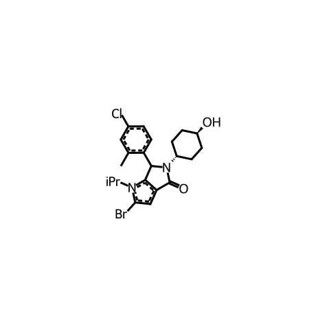 Cc1cc(Cl)ccc1C1c2c(cc(Br)n2C(C)C)C(=O)N1[C@H]1CC[C@H](O)CC1